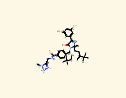 CC(CCC1(C)N=C(c2cc(F)cc(F)c2)C(=O)N1[C@H](CCC(C)(C)C)c1ccc(C(=O)NCc2n[nH]n2C)cc1)C(C)(C)C